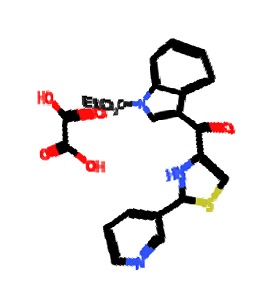 CCOC(=O)n1cc(C(=O)C2=CSC(c3cccnc3)N2)c2ccccc21.O=C(O)C(=O)O